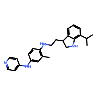 Cc1cc(Nc2ccncc2)ccc1NCCC1CNc2c(C(C)C)cccc21